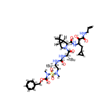 C=CCNC(=O)C(=O)C(CC1CC1)NC(=O)[C@@H]1[C@@H]2[C@H](CN1C(=O)[C@@H](NC(=O)N[C@H](CN(C)S(=O)(=O)N(C)C(=O)OCc1ccccc1)C(C)(C)C)C(C)(C)C)C2(C)C